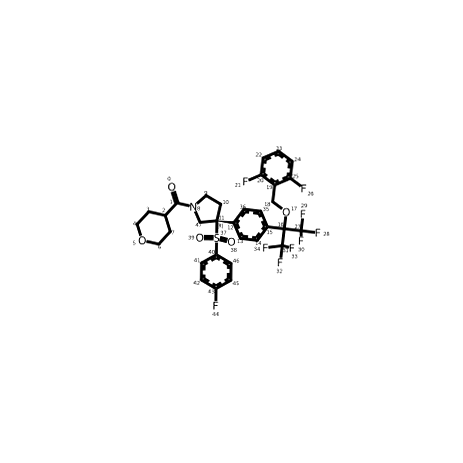 O=C(C1CCOCC1)N1CC[C@](c2ccc(C(OCc3c(F)cccc3F)(C(F)(F)F)C(F)(F)F)cc2)(S(=O)(=O)c2ccc(F)cc2)C1